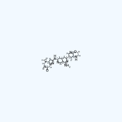 Cc1c(-c2cc3cc(Nc4cc5n(n4)CC(=O)N(C)CC54CC4)ncc3c(N)n2)cnc2c1NCCO2